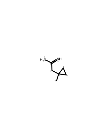 CC1(CC(=N)N)CC1